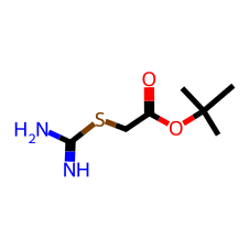 CC(C)(C)OC(=O)CSC(=N)N